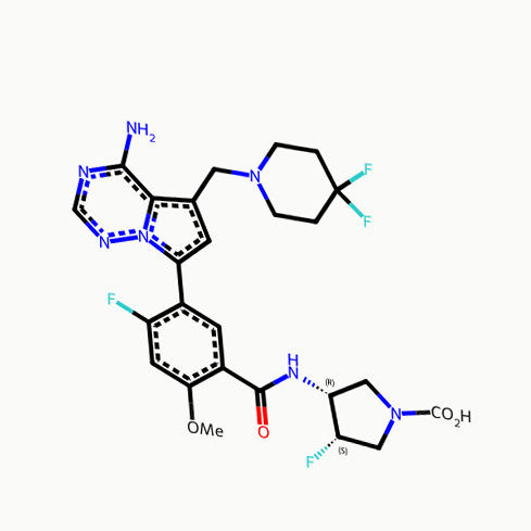 COc1cc(F)c(-c2cc(CN3CCC(F)(F)CC3)c3c(N)ncnn23)cc1C(=O)N[C@@H]1CN(C(=O)O)C[C@@H]1F